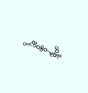 O=Cc1cccnc1Oc1ccc(S(=O)(=O)c2ccc(CCN(C[C@H](O)c3cccc(Cl)c3)C(=O)O)cc2)cc1